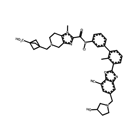 Cc1c(-c2cccc(N(Cl)C(=O)c3nc4c(n3C)CCN(CC35CC(C(=O)O)(C3)C5)C4)c2)cccc1-c1nc2cc(CN3CCC(O)C3)cc(C#N)c2o1